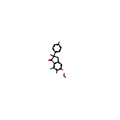 CC1(c2ccc(N)cc2)Cc2cc(OCC(=O)O)c(Cl)c(Cl)c2C1=O